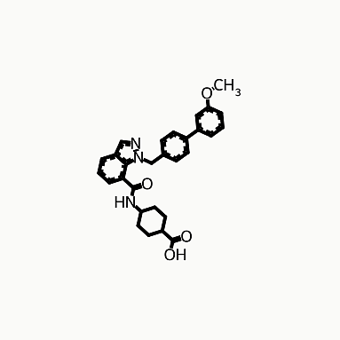 COc1cccc(-c2ccc(Cn3ncc4cccc(C(=O)NC5CCC(C(=O)O)CC5)c43)cc2)c1